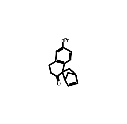 CCCc1ccc2c(c1)CCC(=O)C21CC2C=CC1C2